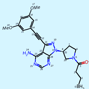 BCCC(=O)N1CC[C@H](n2nc(C#Cc3cc(OC)cc(OC)c3)c3c(N)ncnc32)C1